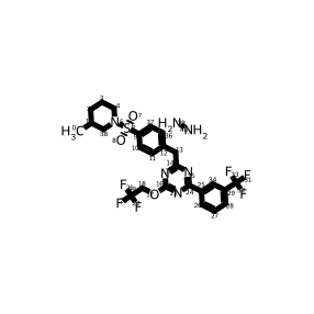 CC1CCCN(S(=O)(=O)c2ccc(Cc3nc(OCC(F)(F)F)nc(-c4cccc(C(F)(F)F)c4)n3)cc2)C1.NN